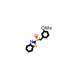 COc1cccc(C[S+]([O-])c2nc3ccccc3s2)c1